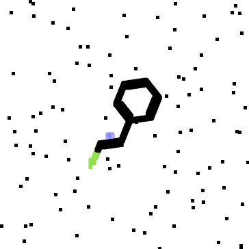 F/C=C/c1ccccc1